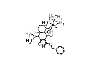 CN(C)[C@@H]1c2onc(OCc3ccccc3)c2C(=O)[C@@]2(O)[C@H](O[Si](C)(C)C(C)(C)C)C=CC[C@@H]12